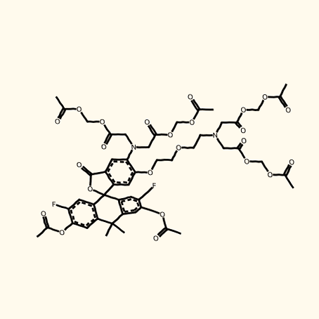 CC(=O)OCOC(=O)CN(CCOCCOc1cc2c(cc1N(CC(=O)OCOC(C)=O)CC(=O)OCOC(C)=O)C(=O)OC21c2cc(F)c(OC(C)=O)cc2C(C)(C)c2cc(OC(C)=O)c(F)cc21)CC(=O)OCOC(C)=O